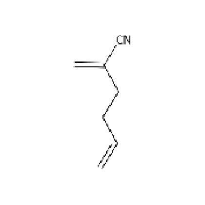 C=CCCC(=C)C#N